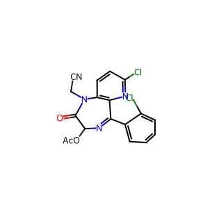 CC(=O)OC1N=C(c2ccccc2Cl)c2nc(Cl)ccc2N(CC#N)C1=O